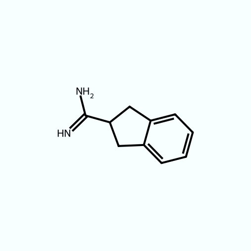 N=C(N)C1Cc2ccccc2C1